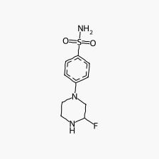 NS(=O)(=O)c1ccc(N2CCNC(F)C2)cc1